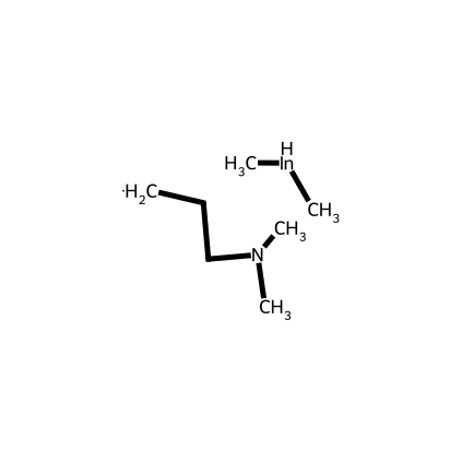 [CH2]CCN(C)C.[CH3][InH][CH3]